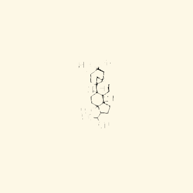 CC(C)C1CC[C@H]2[C@@H]3CC[C@]45C[C@](C)(O)CC[C@]4(C5)[C@H]3CC[C@]12C